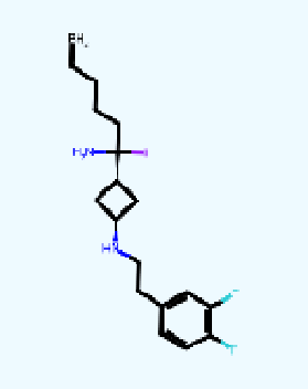 BCCCCC(N)(I)[C@H]1C[C@@H](NCCc2ccc(F)c(F)c2)C1